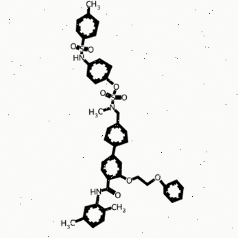 Cc1ccc(S(=O)(=O)Nc2ccc(OS(=O)(=O)N(C)Cc3ccc(-c4ccc(C(=O)Nc5cc(C)ccc5C)c(OCCOc5ccccc5)c4)cc3)cc2)cc1